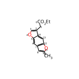 CCOC(=O)Cc1coc2cc3cc(C)oc3cc12